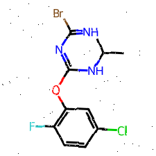 CC(C)N/C(=N\C(=N)Br)Oc1cc(Cl)ccc1F